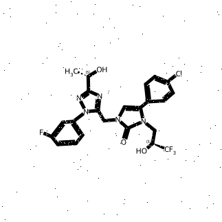 C[C@H](O)c1nc(Cn2cc(-c3ccc(Cl)cc3)n(C[C@H](O)C(F)(F)F)c2=O)n(-c2cccc(F)c2)n1